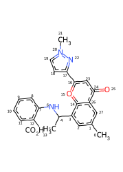 Cc1cc(C(C)Nc2ccccc2C(=O)O)c2oc(-c3ccn(C)n3)cc(=O)c2c1